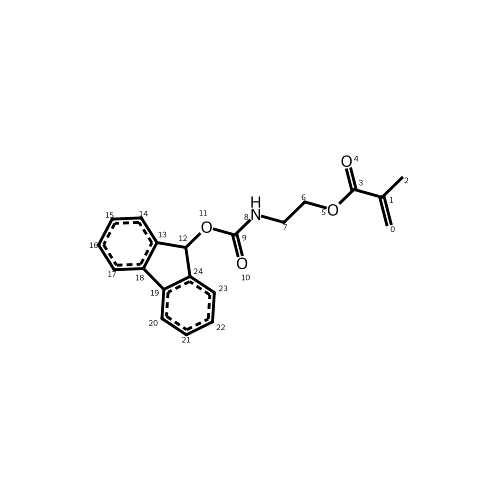 C=C(C)C(=O)OCCNC(=O)OC1c2ccccc2-c2ccccc21